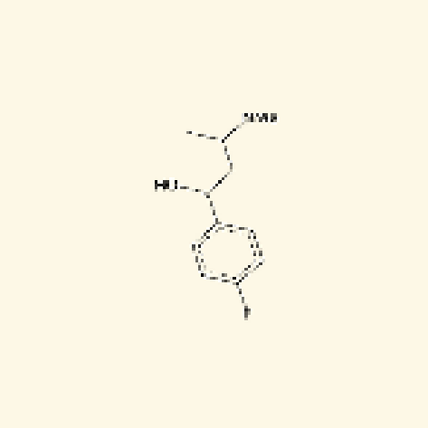 CNC(C)CC(O)c1ccc(F)cc1